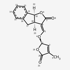 CC1=C[C@H](O/C=C2/C(=O)O[C@@H]3c4ccccc4C[C@H]23)OC1=O